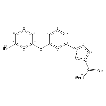 CCCC(C)C(=O)c1ccc(-c2cccc(Cc3cccc(C(C)C)c3)c2)s1